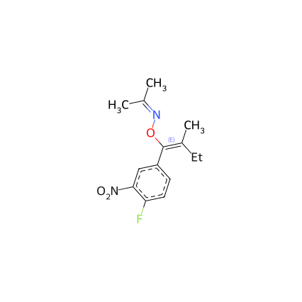 CC/C(C)=C(/ON=C(C)C)c1ccc(F)c([N+](=O)[O-])c1